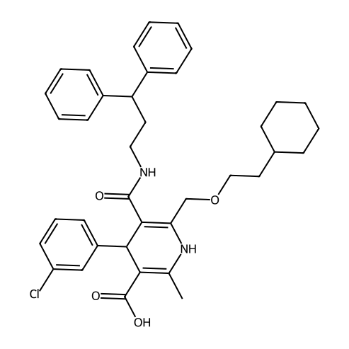 CC1=C(C(=O)O)C(c2cccc(Cl)c2)C(C(=O)NCCC(c2ccccc2)c2ccccc2)=C(COCCC2CCCCC2)N1